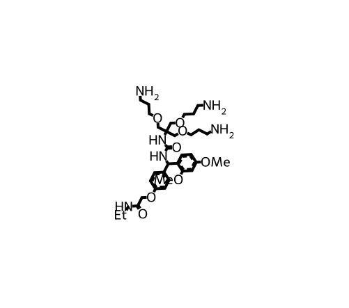 CCNC(=O)COc1ccc(C(NC(=O)NC(COCCCN)(COCCCN)COCCCN)c2ccc(OC)cc2OC)cc1